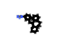 Nc1cccc(C=C2C3=CC=CCC3=CCc3ccccc32)c1